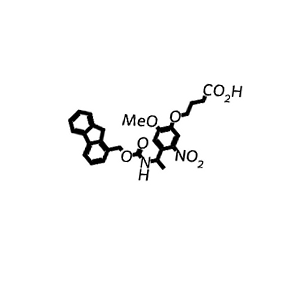 COc1cc(C(C)NC(=O)OCc2cccc3c2Cc2ccccc2-3)c([N+](=O)[O-])cc1OCCCC(=O)O